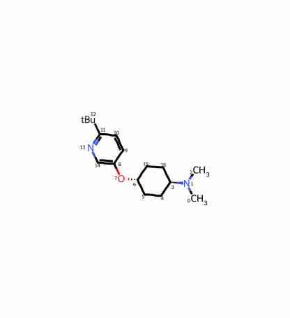 CN(C)[C@H]1CC[C@H](Oc2ccc(C(C)(C)C)nc2)CC1